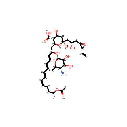 C=C[C@H]1OC1C[C@H](O)C[C@]1(O)C[C@H](O)[C@@H](C(=O)O)[C@H](C[C@H](/C=C/C=C/C=C/C=C\CC[C@@H](C)OC(C)=O)O[C@@H]2OC(C)[C@@H](N)C(O)C2O)O1